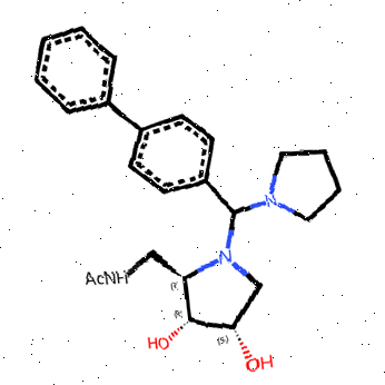 CC(=O)NC[C@@H]1[C@@H](O)[C@@H](O)CN1C(c1ccc(-c2ccccc2)cc1)N1CCCC1